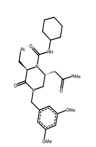 CNC(=O)C[C@@H]1CN(Cc2cc(OC)cc(OC)c2)C(=O)[C@@H](CC(C)C)N1C(=O)NC1CCCCC1